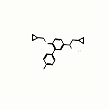 O=C(O)C(CC1CC1)c1ccc(OCC2CC2)c(-c2ccc(Cl)cc2)c1